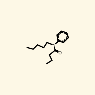 CCCCCN(C(=O)CCC)c1ccccc1